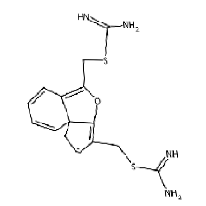 N=C(N)SCC1=C2OC(CSC(=N)N)=C3C=CC=CC32CC=C1